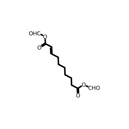 O=COC(=O)C=CCCCCCCC(=O)OC=O